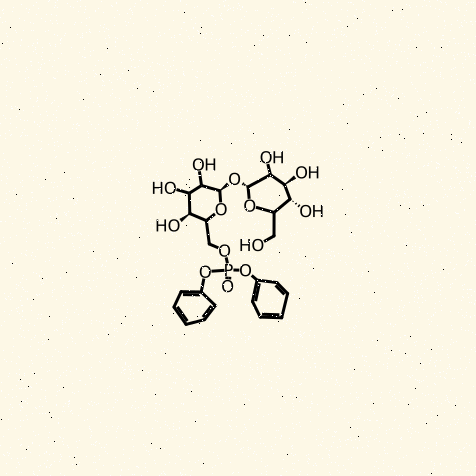 O=P(OCC1O[C@H](O[C@H]2OC(CO)[C@@H](O)[C@H](O)C2O)C(O)C(O)[C@@H]1O)(Oc1ccccc1)Oc1ccccc1